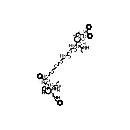 CC[C@H](NC)C(=O)NC1C(=O)N2[C@@H](CC[C@@H]1CCNCc1ccccc1)CC[C@H]2C(=O)N[C@H](C(=O)NCCOCCOCCOCCNC(=O)COCC(=O)NC[C@H]1CC[C@H]2CC[C@@H](C(=O)NC(c3ccccc3)c3ccccc3)N2C(=O)[C@H]1NC(=O)[C@H](CC)NC)c1ccccc1